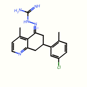 Cc1ccc(Cl)cc1C1C/C(=N/NC(=N)N)c2c(C)ccnc2C1